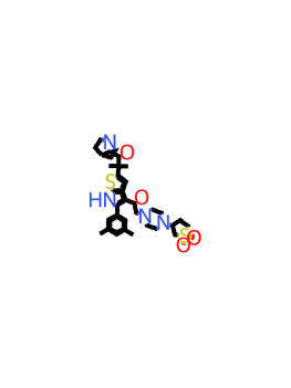 Cc1cc(C)cc(-c2[nH]c3sc(C(C)(C)C(=O)C4C5CCN4CC5)cc3c2C(=O)CN2CCN(C3CCS(=O)(=O)C3)CC2)c1